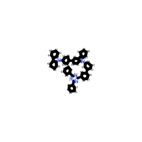 c1ccc(-c2nc(-c3ccccc3)nc(-c3cccc(-c4cccc(-n5c6ccccc6c6cc(-c7ccc(-n8c9ccccc9c9ccccc98)cc7)ccc65)c4)c3)n2)cc1